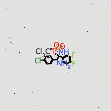 CC(NS(=O)(=O)OCC(Cl)(Cl)Cl)(c1ccc(F)c(F)c1)C(N)c1ccc(Cl)cc1